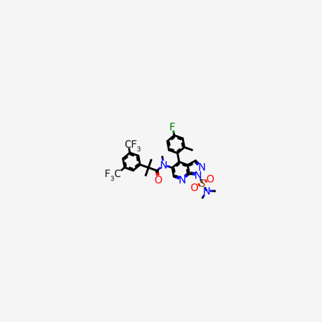 Cc1cc(F)ccc1-c1c(N(C)C(=O)C(C)(C)c2cc(C(F)(F)F)cc(C(F)(F)F)c2)cnc2c1cnn2S(=O)(=O)N(C)C